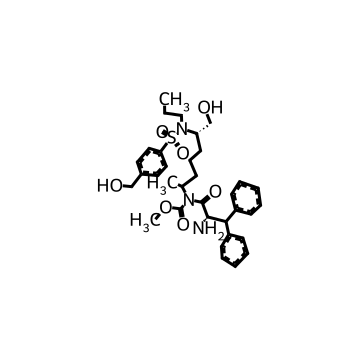 CCCN([C@H](CO)CCCC(C)N(C(=O)OC)C(=O)[C@@H](N)C(c1ccccc1)c1ccccc1)S(=O)(=O)c1ccc(CO)cc1